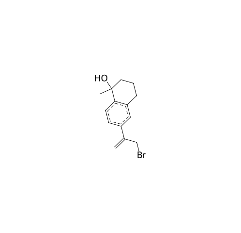 C=C(CBr)c1ccc2c(c1)CCCC2(C)O